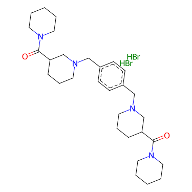 Br.Br.O=C(C1CCCN(Cc2ccc(CN3CCCC(C(=O)N4CCCCC4)C3)cc2)C1)N1CCCCC1